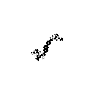 COC(=O)NC(C(=O)N1CC2(CC2)CC1c1nc(-c2ccc3cc(-c4ccc(C(=O)CNC(=O)C5SCCN5C(=O)OC(C)(C)C)cc4)ccc3c2)c[nH]1)C(C)C